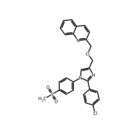 CS(=O)(=O)c1ccc(-n2cc(COCc3ccc4ccccc4n3)nc2-c2ccc(Cl)cc2)cc1